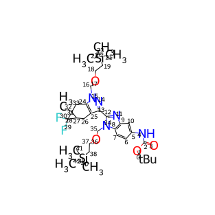 CC(C)(C)OC(=O)Nc1ccc2c(c1)nc(-c1nn(COCC[Si](C)(C)C)c3c1CC1C(F)(F)C1(C)C3)n2COCC[Si](C)(C)C